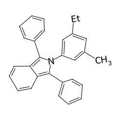 CCc1cc(C)cc(-n2c(-c3ccccc3)c3ccccc3c2-c2ccccc2)c1